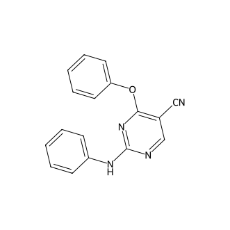 N#Cc1cnc(Nc2ccccc2)nc1Oc1ccccc1